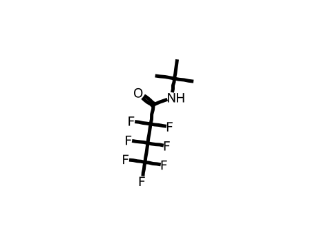 CC(C)(C)NC(=O)C(F)(F)C(F)(F)C(F)(F)F